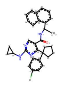 CC(NC(=O)c1cnc(NC2CC2)nc1C1(c2ccc(F)cc2)CCCC1)c1cccc2ccccc12